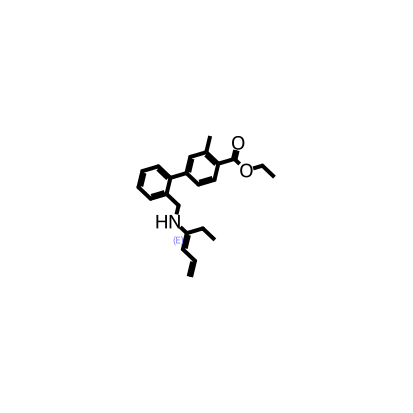 C=C/C=C(\CC)NCc1ccccc1-c1ccc(C(=O)OCC)c(C)c1